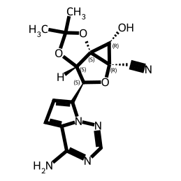 CC1(C)O[C@H]2[C@H](c3ccc4c(N)ncnn34)O[C@]3(C#N)[C@@H](O)[C@]23O1